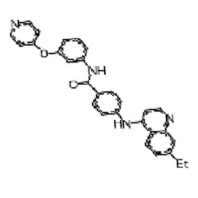 CCc1ccc2c(Nc3ccc(C(=O)Nc4cccc(Oc5ccncc5)c4)cc3)ccnc2c1